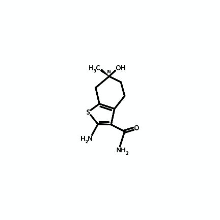 C[C@@]1(O)CCc2c(sc(N)c2C(N)=O)C1